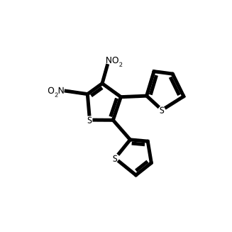 O=[N+]([O-])c1sc(-c2cccs2)c(-c2cccs2)c1[N+](=O)[O-]